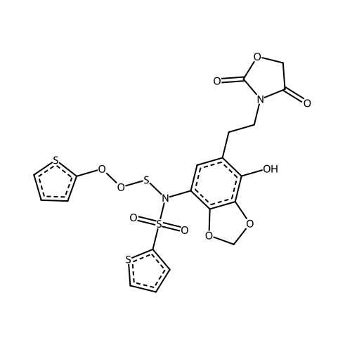 O=C1COC(=O)N1CCc1cc(N(SOOc2cccs2)S(=O)(=O)c2cccs2)c2c(c1O)OCO2